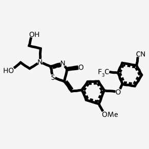 COc1cc(/C=C2/SC(N(CCO)CCO)=NC2=O)ccc1Oc1ccc(C#N)cc1C(F)(F)F